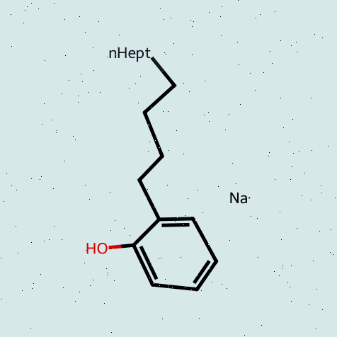 CCCCCCCCCCCc1ccccc1O.[Na]